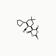 CC1(C)CC(=C2C(=S)OC(=S)OC2=S)C(C#N)=C(N2CCCC2)C1